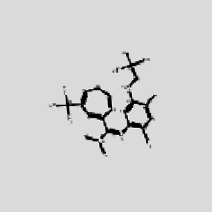 Cc1cc(F)c(/N=C(\C2=CC(C(F)(F)F)=CCC=C2)N(C)C)cc1SCC(C)(F)F